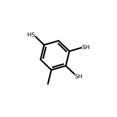 Cc1cc(S)cc(S)c1S